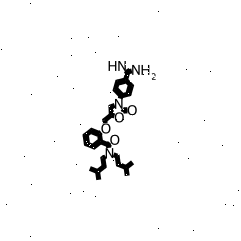 CC(C)CCN(CCC(C)C)C(=O)c1ccccc1OCC1CN(c2ccc(C(=N)N)cc2)C(=O)O1